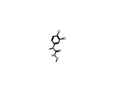 CONC(=O)N(C)c1ccc(Cl)c(Cl)c1